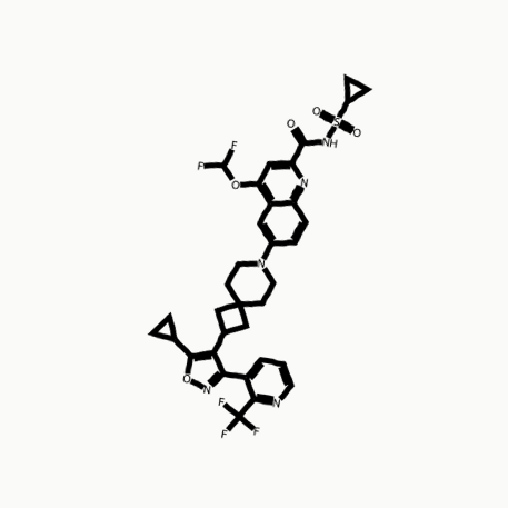 O=C(NS(=O)(=O)C1CC1)c1cc(OC(F)F)c2cc(N3CCC4(CC3)CC(c3c(-c5cccnc5C(F)(F)F)noc3C3CC3)C4)ccc2n1